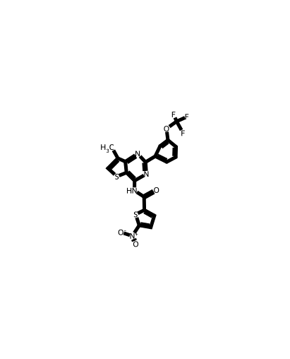 Cc1csc2c(NC(=O)c3ccc([N+](=O)[O-])s3)nc(-c3cccc(OC(F)(F)F)c3)nc12